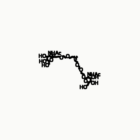 CC(=O)NC1C(OCCOCCOCCN(C)CCOCCOCCOC2OC(CO)C(O)C(O)C2NC(C)=O)OC(CO)C(O)C1O